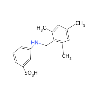 Cc1cc(C)c(CNc2cccc(S(=O)(=O)O)c2)c(C)c1